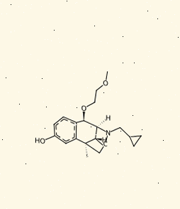 COCCO[C@@H]1c2ccc(O)cc2[C@]2(C)CCN(CC3CC3)[C@H]1[C@@H]2C